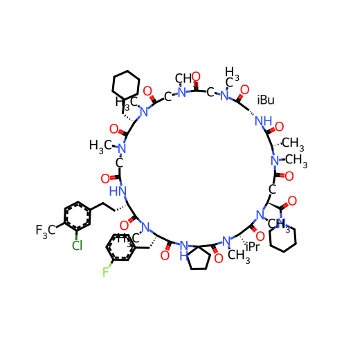 CC[C@H](C)[C@@H]1NC(=O)[C@H](C)N(C)C(=O)C[C@@H](C(=O)N2CCCCC2)N(C)C(=O)[C@H](C(C)C)N(C)C(=O)C2(CCCC2)NC(=O)[C@H](Cc2cccc(F)c2)N(C)C(=O)[C@H](CCc2ccc(C(F)(F)F)c(Cl)c2)NC(=O)CN(C)C(=O)[C@H](CC2CCCCC2)N(C)C(=O)CN(C)C(=O)CN(C)C1=O